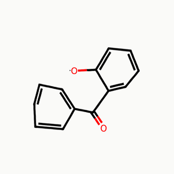 [O]c1ccccc1C(=O)c1ccccc1